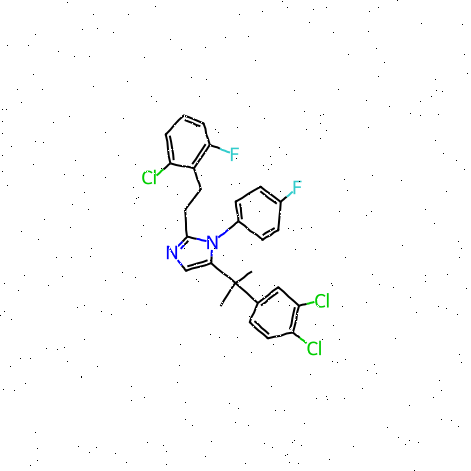 CC(C)(c1ccc(Cl)c(Cl)c1)c1cnc(CCc2c(F)cccc2Cl)n1-c1ccc(F)cc1